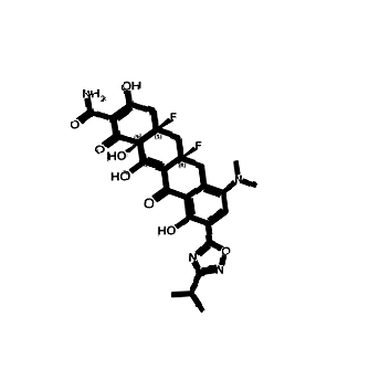 CC(C)c1noc(-c2cc(N(C)C)c3c(c2O)C(=O)C2=C(O)[C@]4(O)C(=O)C(C(N)=O)=C(O)C[C@]4(F)C[C@]2(F)C3)n1